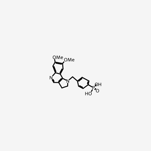 COc1cc2ncc3c(c2cc1OC)N(Cc1ccc(P(=O)(O)O)cc1)CC3